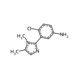 Cc1cnc(-c2cc(N)ccc2Cl)n1C